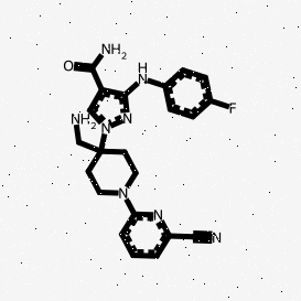 N#Cc1cccc(N2CCC(CN)(n3cc(C(N)=O)c(Nc4ccc(F)cc4)n3)CC2)n1